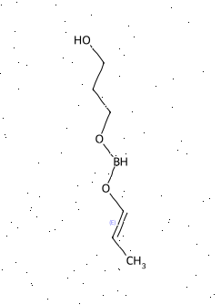 C/C=C/OBOCCCO